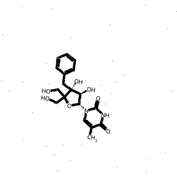 Cc1cn([C@@H]2OC(CO)(CO)[C@@](O)(Cc3ccccc3)[C@H]2O)c(=O)[nH]c1=O